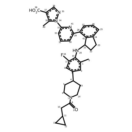 Cc1cc(C2CCN(C(=O)CC3CC3)CC2)cc(F)c1NC1CCc2cccc(-c3cccc(-n4ncc(C(=O)O)c4C)n3)c21